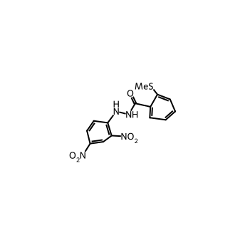 CSc1ccccc1C(=O)NNc1ccc([N+](=O)[O-])cc1[N+](=O)[O-]